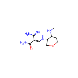 CNC1CCOC[C@@H]1N/C=C(\C(=N)N)C(N)=O